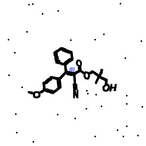 COc1ccc(/C(=C(\C#N)C(=O)OCC(C)(C)CO)c2ccccc2)cc1